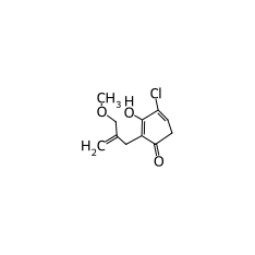 C=C(COC)CC1=C(O)C(Cl)=CCC1=O